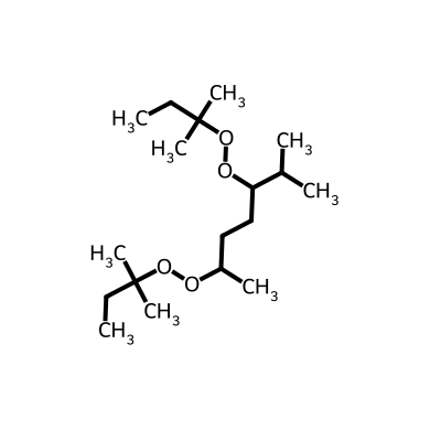 CCC(C)(C)OOC(C)CCC(OOC(C)(C)CC)C(C)C